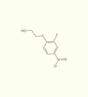 O=[N+]([O-])c1ccc(SCCO)c(F)c1